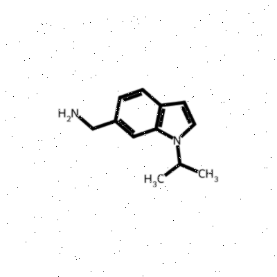 CC(C)n1ccc2ccc(CN)cc21